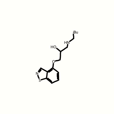 CCC(C)CNCC(O)COc1cccc2sncc12